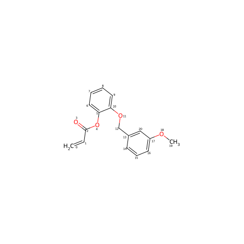 C=CC(=O)Oc1ccccc1OCc1cccc(OC)c1